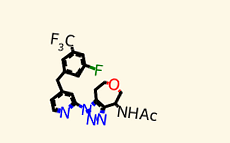 CC(=O)NC1COCCc2c1nnn2-c1cc(Cc2cc(F)cc(C(F)(F)F)c2)ccn1